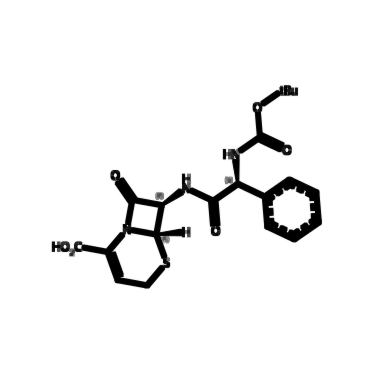 CC(C)(C)OC(=O)N[C@H](C(=O)N[C@@H]1C(=O)N2C(C(=O)O)=CCS[C@@H]12)c1ccccc1